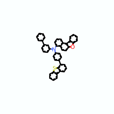 c1ccc(-c2cccc(N(c3ccc(-c4cccc5c4sc4ccccc45)cc3)c3cccc4c3ccc3oc5ccccc5c34)c2)cc1